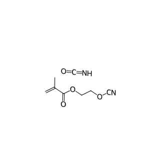 C=C(C)C(=O)OCCOC#N.N=C=O